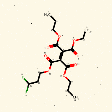 CCCOC(=O)/C(C(=O)OCC)=C(/C(=O)OCCC)C(=O)OCCC(F)F